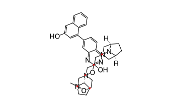 CN1CCC[C@H]1COc1nc(N2[C@@H]3CC[C@H]2CN(CC(O)CN2CCOCC2)C3)c2ccc(-c3cc(O)cc4ccccc34)cc2n1